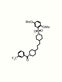 COc1ccc(OC)c(S(=O)(=O)N2CCC(CCCC3CCN(C(=O)c4cccc(C(F)(F)F)c4)CC3)CC2)c1